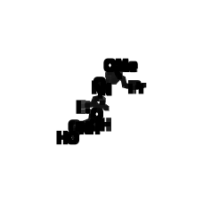 CCc1cc(-c2noc(-c3cc(CCC(C)C)nc(OC)c3)n2)cc(C)c1OC[C@@H](O)CNC(=O)CO